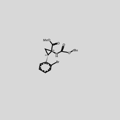 COC(=O)[C@@]1(NC(=O)OC(C)(C)C)C[C@H]1c1ccccc1Br